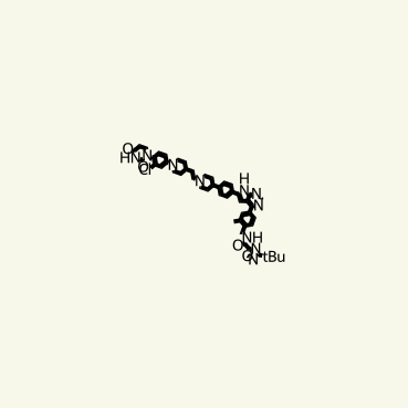 Cc1cc(-c2ncnc3[nH]c(-c4ccc(C5CCN(CCC6CCN(c7ccc(N8CCC(=O)NC8=O)c(Cl)c7)CC6)CC5)cc4)cc23)ccc1CNC(=O)c1nc(C(C)(C)C)no1